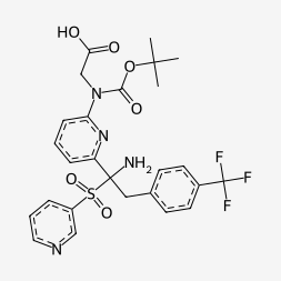 CC(C)(C)OC(=O)N(CC(=O)O)c1cccc(C(N)(Cc2ccc(C(F)(F)F)cc2)S(=O)(=O)c2cccnc2)n1